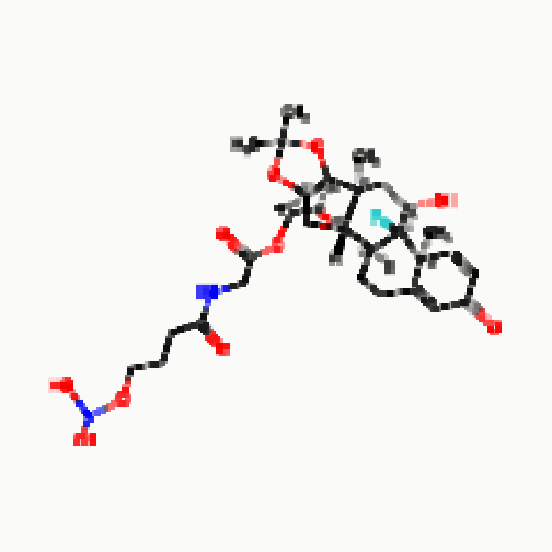 CC1(C)O[C@@H]2C[C@H]3[C@@H]4CCC5=CC(=O)C=C[C@]5(C)[C@@]4(F)[C@@H](O)C[C@]3(C)[C@]2(C(=O)COC(=O)CNC(=O)CCCON(O)O)O1